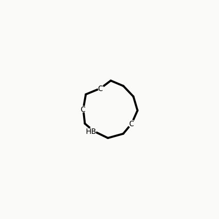 B1CCCCCCCCCCC1